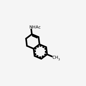 CC(=O)NC1=Cc2cc(C)ccc2CC1